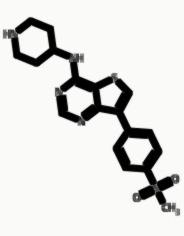 CS(=O)(=O)c1ccc(-c2csc3c(NC4CCNCC4)ncnc23)cc1